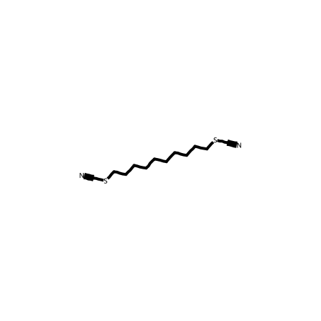 N#CSCCCCCCCCCCSC#N